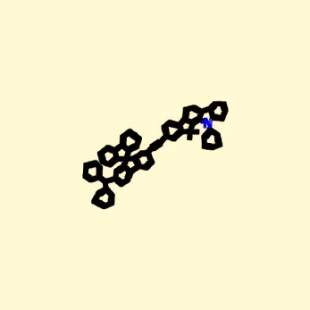 CC1(C)c2cc(C#Cc3ccc4c(c3)C3(c5ccccc5-c5ccccc53)c3cc(C(c5ccccc5)c5ccccc5)ccc3-4)ccc2-c2ccc3c4ccccc4n(-c4ccccc4)c3c21